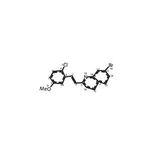 COc1ccc(Cl)c(C=Cc2ccc3ccc(Br)cc3n2)c1